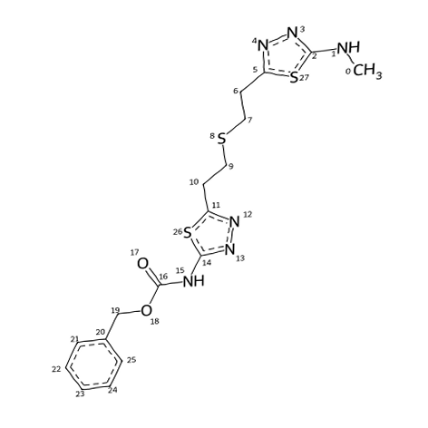 CNc1nnc(CCSCCc2nnc(NC(=O)OCc3ccccc3)s2)s1